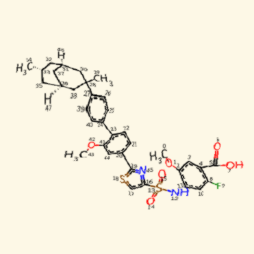 COc1cc(C(=O)O)c(F)cc1NS(=O)(=O)c1csc(-c2ccc(-c3ccc(C4(C)C[C@@H]5C[C@@H](C)C[C@@H](C5)C4)cc3)c(OC)c2)n1